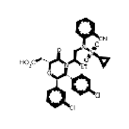 CCC(CN(c1ccccc1C#N)S(=O)(=O)C1CC1)N1C(=O)[C@@H](CC(=O)O)O[C@H](c2cccc(Cl)c2)[C@H]1c1ccc(Cl)cc1